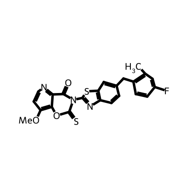 COc1ccnc2c(=O)n(-c3nc4ccc(Cc5ccc(F)cc5C)cc4s3)c(=S)oc12